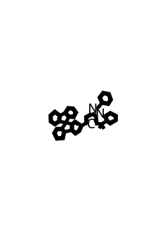 CC1(C)c2ccccc2-n2c(-c3ccccc3)nc3cc(-c4ccc5c(c4)C4(c6ccccc6-c6ccccc64)c4ccccc4-5)cc1c32